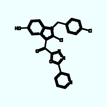 O=C(c1nnc(-c2cccnc2)o1)c1c(Cl)n(Cc2ccc(Cl)cc2)c2ccc(O)cc12